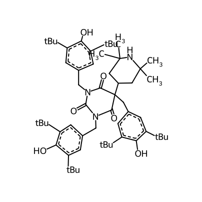 CC1(C)CC(C2(Cc3cc(C(C)(C)C)c(O)c(C(C)(C)C)c3)C(=O)N(Cc3cc(C(C)(C)C)c(O)c(C(C)(C)C)c3)C(=O)N(Cc3cc(C(C)(C)C)c(O)c(C(C)(C)C)c3)C2=O)CC(C)(C)N1